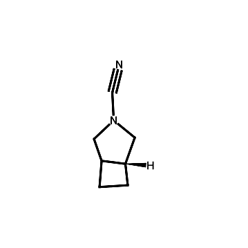 N#CN1CC2CC[C@H]2C1